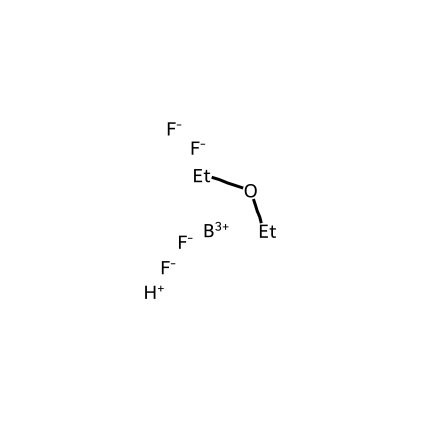 CCOCC.[B+3].[F-].[F-].[F-].[F-].[H+]